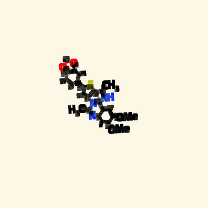 COc1cc2nc(C)nc(NC(C)c3ccc(-c4ccc5c(c4)OCO5)s3)c2cc1OC